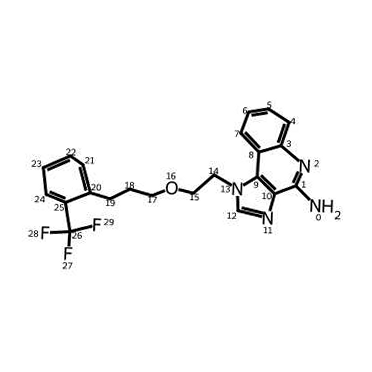 Nc1nc2ccccc2c2c1ncn2CCOCCCc1ccccc1C(F)(F)F